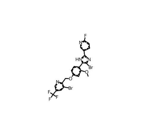 COc1cc(OCc2ncc(C(F)(F)F)cc2Br)ccc1-c1[nH]c(-c2ccc(F)nc2)nc1Br